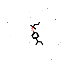 CCCC(C)(C)Oc1ccc(C(C)CC)cc1